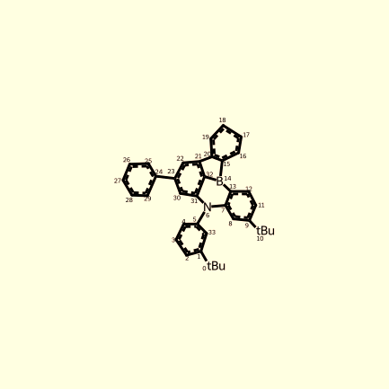 CC(C)(C)c1cccc(N2c3cc(C(C)(C)C)ccc3B3c4ccccc4-c4cc(-c5ccccc5)cc2c43)c1